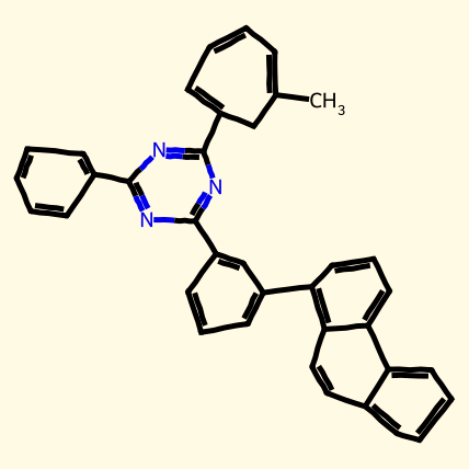 CC1=CC=CC=C(c2nc(-c3ccccc3)nc(-c3cccc(-c4cccc5c4ccc4ccccc45)c3)n2)C1